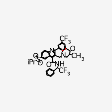 CC1CN(Cc2c(-c3cccc(C(F)(F)F)c3)nc3ccc(S(=O)(=O)C(C)C)cc3c2C(=O)N[C@H](c2ccccc2)C(F)(F)F)CCC1=O